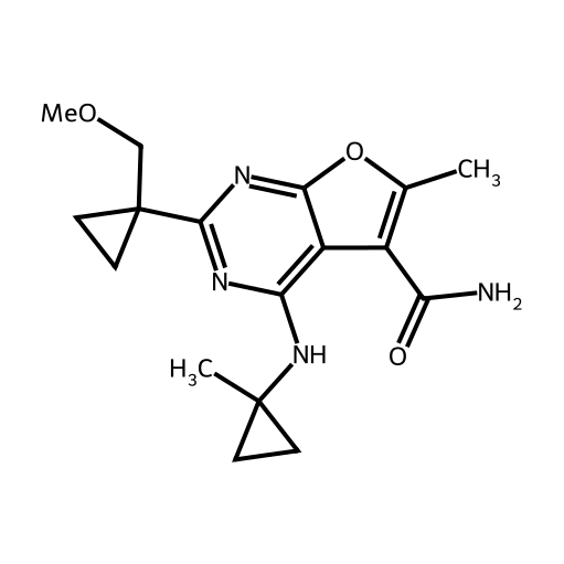 COCC1(c2nc(NC3(C)CC3)c3c(C(N)=O)c(C)oc3n2)CC1